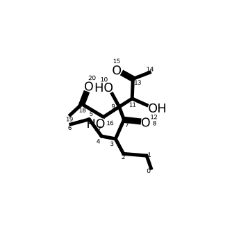 CCCC(CCC)C(=O)C(O)(C(O)C(C)=O)C(O)C(C)=O